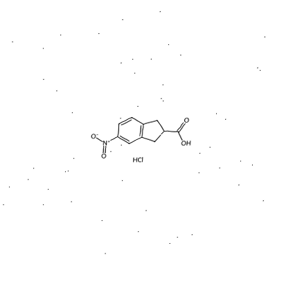 Cl.O=C(O)C1Cc2ccc([N+](=O)[O-])cc2C1